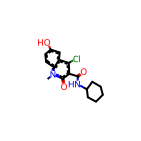 Cn1c(=O)c(C(=O)NC2CCCCC2)c(Cl)c2cc(O)ccc21